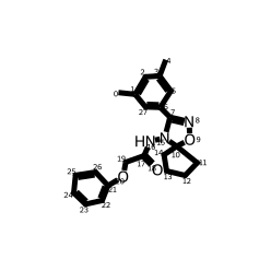 Cc1cc(C)cc(C2=NOC3(CCCC3)N2NC(=O)COc2ccccc2)c1